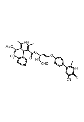 COC(=O)C1=C(C)NC(C)=C(C(=O)OC(C=COc2ccc(-c3cc(C#N)c(=O)[nH]c3C)cc2)NC=O)C1c1ccccc1[N+](=O)[O-]